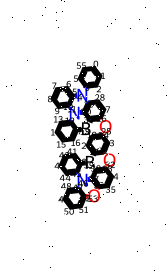 c1ccc(N2c3ccccc3N3c4ccccc4B4c5cc6c(cc5Oc5ccc2c3c54)Oc2ccc3c4c2B6c2ccccc2N4c2ccccc2O3)cc1